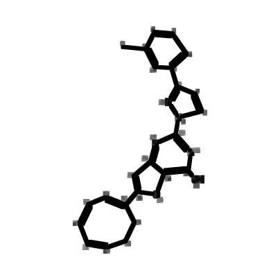 Cc1cccc(-c2ccn(-c3nc(O)c4oc(/C5=C/C=C\C=C/CC5)cc4n3)n2)c1